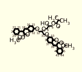 C=C(C)C(=O)OCC(O)COC(COc1ccc2cc(-c3ccccc3OC)c(=O)oc2c1)COc1ccc2cc(-c3ccccc3OC)c(=O)oc2c1